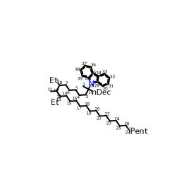 CCCCCCCCCCC(C)(CCCCCC(CC)C(C)[C@@H](CC)CCCCCCCCCCCCCC(C)CCC)n1c2ccccc2c2ccccc21